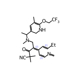 C=N\C=C/C(/C=C/CC)=C(/CN(C)C(C)C1=CC(C)=C(OCC(F)(F)F)NC1)C(=O)C(C)(C)C#N